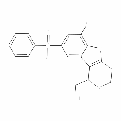 O=S(=O)(c1ccccc1)c1cc(Cl)c2oc3c(c2c1)C(CO)NCC3